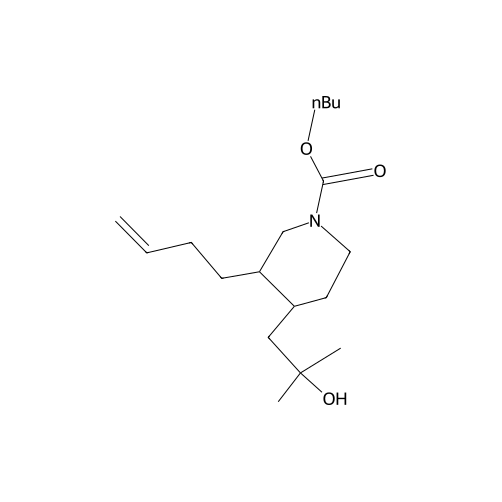 C=CCCC1CN(C(=O)OCCCC)CCC1CC(C)(C)O